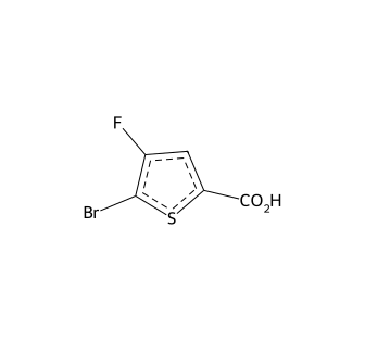 O=C(O)c1cc(F)c(Br)s1